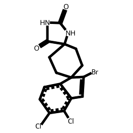 O=C1NC(=O)C2(CCC3(CC2)C(Br)=Cc2c3ccc(Cl)c2Cl)N1